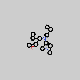 c1cc(-c2ccccc2-n2c3ccccc3c3ccccc32)cc(N(c2ccc(-c3cccc4ccccc34)cc2)c2ccc(-c3cccc4ccccc34)c(-c3ccc4oc5ccccc5c4c3)c2)c1